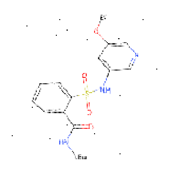 CCOc1cncc(NS(=O)(=O)c2ccccc2C(=O)NC(C)(C)C)c1